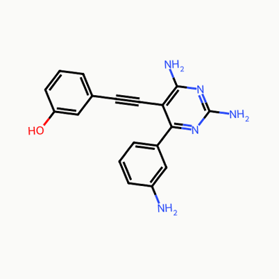 Nc1cccc(-c2nc(N)nc(N)c2C#Cc2cccc(O)c2)c1